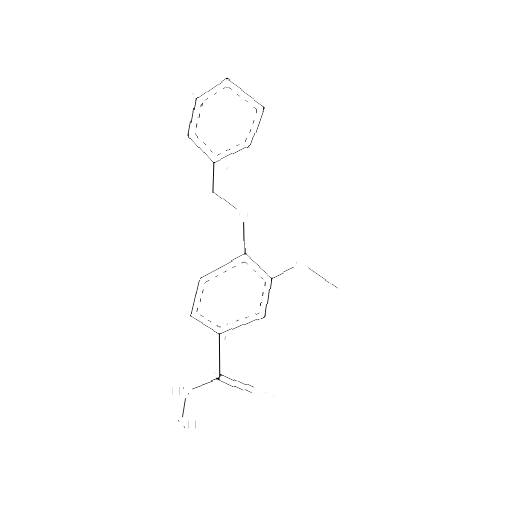 COc1cc(C(=O)NN)ccc1OCc1ccccc1